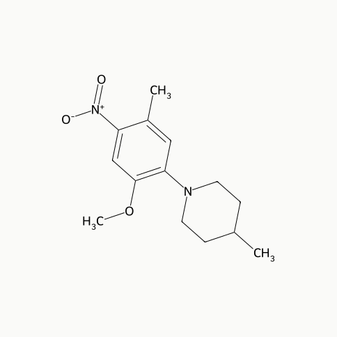 COc1cc([N+](=O)[O-])c(C)cc1N1CCC(C)CC1